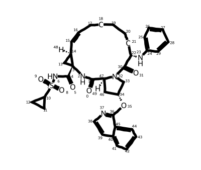 O=C1N[C@]2(C(=O)NS(=O)(=O)C3CC3)C[C@H]2/C=C\CCCCC[C@H](Nc2ccccc2)C(=O)N2C[C@H](Oc3nccc4ccccc34)C[C@@H]12